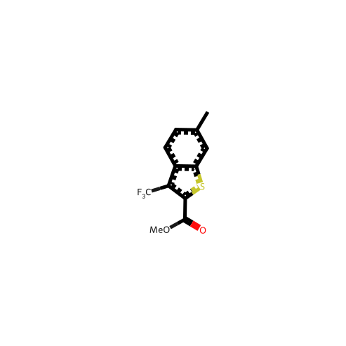 COC(=O)c1sc2cc(C)ccc2c1C(F)(F)F